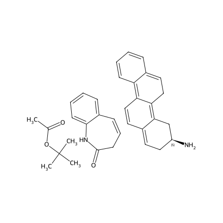 CC(=O)OC(C)(C)C.N[C@H]1CC=c2ccc3c(c2C1)CC=c1ccccc1=3.O=C1CC=Cc2ccccc2N1